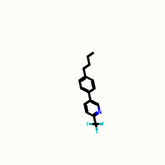 CCCCc1ccc(-c2ccc(C(F)(F)F)nc2)cc1